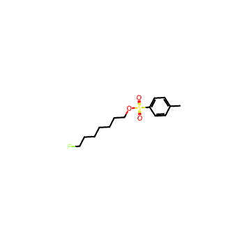 Cc1ccc(S(=O)(=O)OCCCCCCCF)cc1